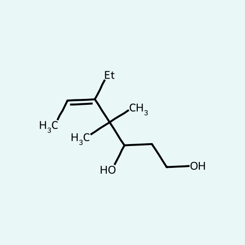 CC=C(CC)C(C)(C)C(O)CCO